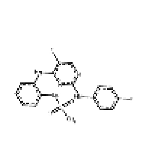 CS(=O)(=O)Nc1ccccc1Nc1nc(Nc2ccc(F)cc2)ncc1F